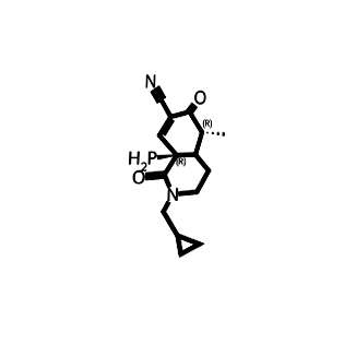 C[C@H]1C(=O)C(C#N)=C[C@@]2(P)C(=O)N(CC3CC3)CCC12